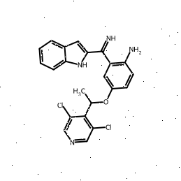 CC(Oc1ccc(N)c(C(=N)c2cc3ccccc3[nH]2)c1)c1c(Cl)cncc1Cl